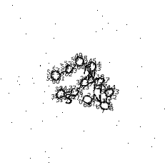 c1ccc(Nc2ccccc2-c2cccc(-c3ccc4c(c3)c3cc(-c5ccc6sc7ccccc7c6c5)ccc3n4-c3cccc(-c4cccc(-c5ccc(-c6ccccc6)cc5)c4)n3)c2)cc1